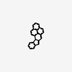 C1=C2C=c3ccc4cccc5ccc(c3c54)C2c2ccccc21